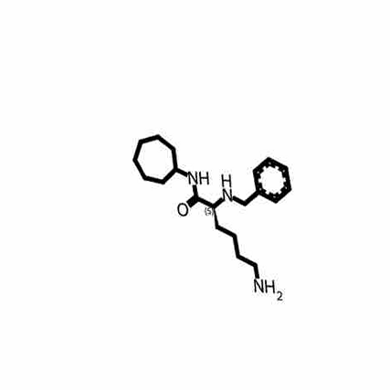 NCCCC[C@H](NCc1ccccc1)C(=O)NC1CCCCCC1